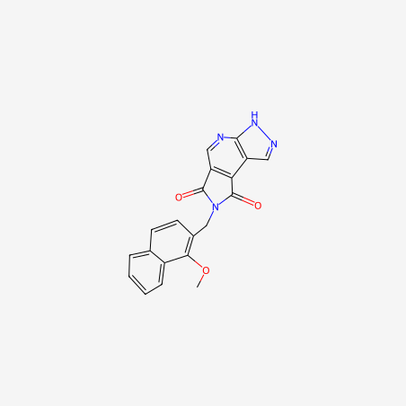 COc1c(CN2C(=O)c3cnc4[nH]ncc4c3C2=O)ccc2ccccc12